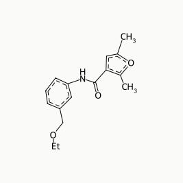 CCOCc1cccc(NC(=O)c2cc(C)oc2C)c1